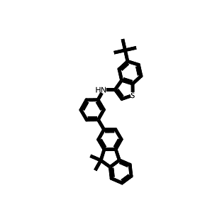 CC(C)(C)c1ccc2scc(Nc3cccc(-c4ccc5c(c4)C(C)(C)c4ccccc4-5)c3)c2c1